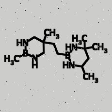 CB1NCC(C)(CCB2NC(C)CC(C)(C)N2)CN1